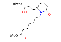 CCCCCC(O)CC[C@H]1CCCC(=O)N1CCCCCCC(=O)OC